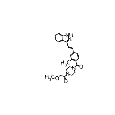 COCC(=O)N1CCN(C(=O)c2ccc(/C=C/c3n[nH]c4ccccc34)cc2C)CC1